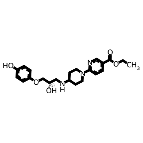 CCOC(=O)c1ccc(N2CCC(NC[C@H](O)COc3ccc(O)cc3)CC2)nc1